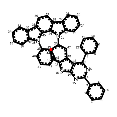 c1ccc(-c2nc(-c3ccccc3)c3c(n2)sc2ccc(-n4c5ccccc5c5ccc6c7ccccc7n(-c7ccccc7)c6c54)cc23)cc1